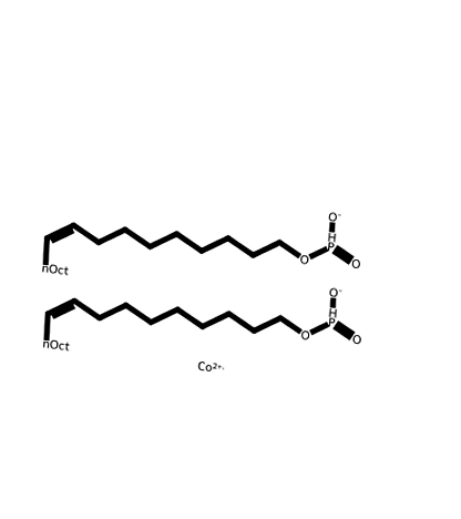 CCCCCCCC/C=C\CCCCCCCCO[PH](=O)[O-].CCCCCCCC/C=C\CCCCCCCCO[PH](=O)[O-].[Co+2]